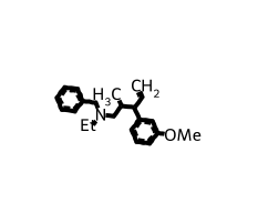 C=CC(c1cccc(OC)c1)C(C)CN(CC)Cc1ccccc1